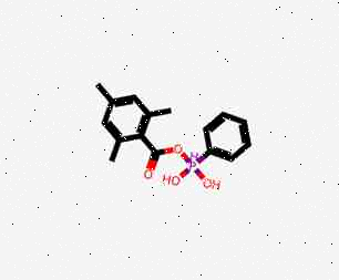 Cc1cc(C)c(C(=O)O[PH](O)(O)c2ccccc2)c(C)c1